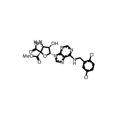 COC(=O)[C@]1(C(N)=O)O[C@@H](n2cnc3c(NCc4cc(Cl)ccc4Cl)ncnc32)[C@H](O)[C@@H]1N